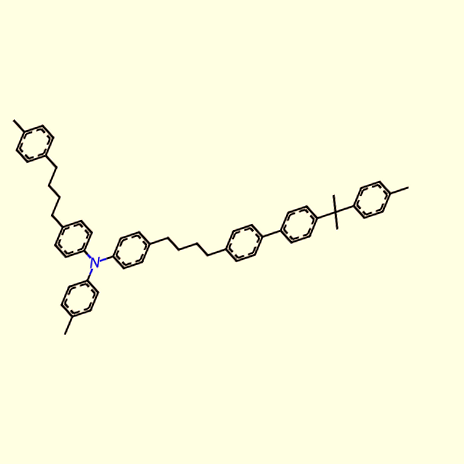 Cc1ccc(CCCCc2ccc(N(c3ccc(C)cc3)c3ccc(CCCCc4ccc(-c5ccc(C(C)(C)c6ccc(C)cc6)cc5)cc4)cc3)cc2)cc1